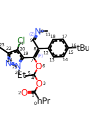 CCCC(=O)OC(C)O/C(=C(/C=N\C)c1ccc(C(C)(C)C)cc1)c1c(Cl)c(C)nn1CC